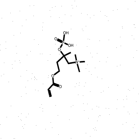 C=CC(=O)OCCC(C)(C[N+](C)(C)C)OP(=O)(O)O